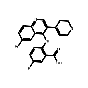 O=C(O)c1cc(F)ccc1Nc1c(C2=CCSCC2)cnc2ccc(Br)cc12